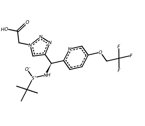 CC(C)(C)[S+]([O-])N[C@H](c1ccc(OCC(F)(F)F)cn1)c1cn(CC(=O)O)nn1